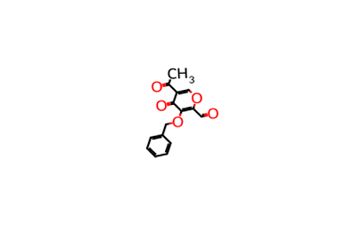 CC(=O)c1coc(C=O)c(OCc2ccccc2)c1=O